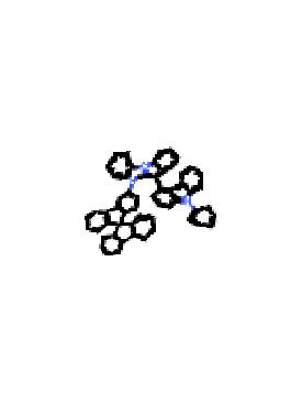 c1ccc(-n2c3ccccc3c3c(-c4c5ccccc5n5c6ccccc6n(-c6ccc7c(c6)-c6ccccc6C76c7ccccc7-c7ccccc76)c45)cccc32)cc1